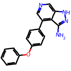 Nc1n[nH]c2cncc(-c3ccc(Oc4ccccc4)cc3)c12